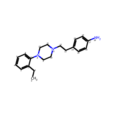 CCc1ccccc1N1CCN(CCc2ccc(N)cc2)CC1